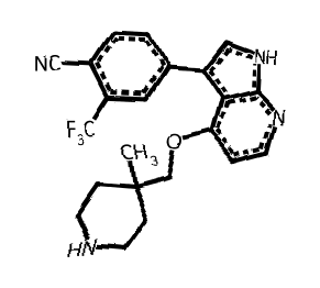 CC1(COc2ccnc3[nH]cc(-c4ccc(C#N)c(C(F)(F)F)c4)c23)CCNCC1